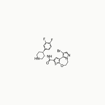 O=C(N[C@@H]1CNCC[C@H]1c1ccc(F)c(F)c1)c1cc2c(s1)OCCn1ncc(Br)c1-2